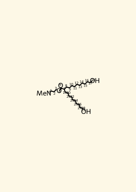 CNCCCOC(=O)C(CCCCCCCCCCO)CCCCCCCCCCO